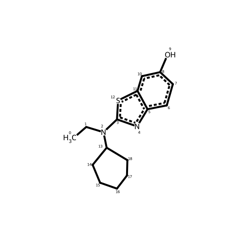 CCN(c1nc2ccc(O)cc2s1)C1CCCCC1